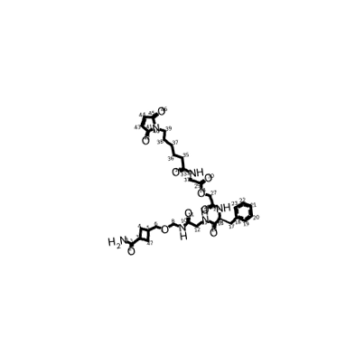 NC(=O)C1CC(COCNC(=O)CNC(=O)[C@H](Cc2ccccc2)NC(=O)COC(=O)CNC(=O)CCCCCN2C(=O)C=CC2=O)C1